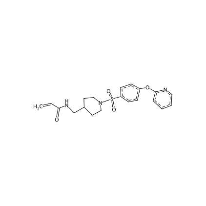 C=CC(=O)NCC1CCN(S(=O)(=O)c2ccc(Oc3ccccn3)cc2)CC1